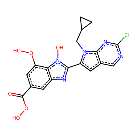 O=C(OO)c1cc(OO)c2c(c1)nc(-c1cc3cnc(Cl)nc3n1CC1CC1)n2O